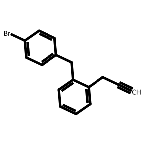 C#CCc1ccccc1Cc1ccc(Br)cc1